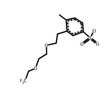 Cc1ccc(S(=O)(=O)Cl)cc1CCOCCOCC(F)(F)F